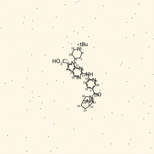 CC(C)(C)N1CCC(n2c(C(=O)O)cc3cnc(Nc4ccc(C(=O)N5CC6CCC(C5)N6)cn4)nc32)CC1